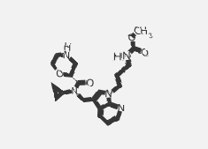 COC(=O)NCCCn1cc(CN(C(=O)[C@H]2CNCCO2)C2CC2)c2cccnc21